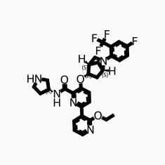 CCOc1ncccc1-c1ccc(O[C@@H]2C[C@@H]3C[C@H]2CN3c2ccc(F)cc2C(F)(F)F)c(C(=O)N[C@@H]2CCNC2)n1